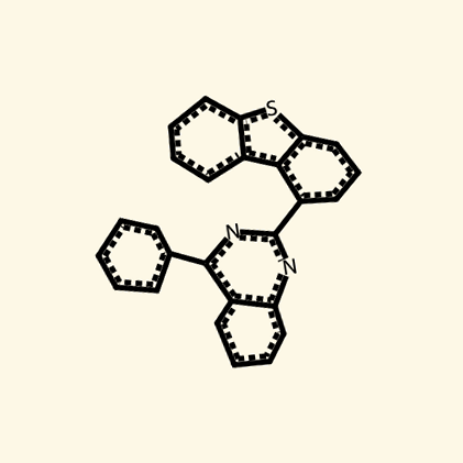 c1ccc(-c2nc(-c3cccc4sc5ccccc5c34)nc3ccccc23)cc1